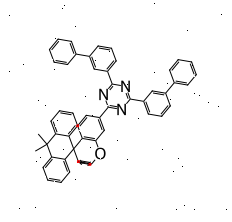 CC1(C)c2ccccc2C2(c3ccccc3Oc3cc(-c4nc(-c5cccc(-c6ccccc6)c5)nc(-c5cccc(-c6ccccc6)c5)n4)ccc32)c2ccccc21